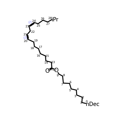 CCCCCCCCCCCCCCCCCCCOC(=O)CCCCCCC/C=C\C/C=C\CCCC(C)C